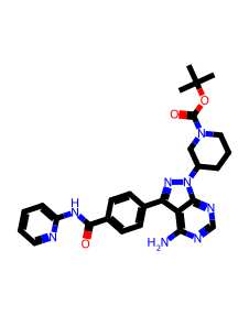 CC(C)(C)OC(=O)N1CCCC(n2nc(-c3ccc(C(=O)Nc4ccccn4)cc3)c3c(N)ncnc32)C1